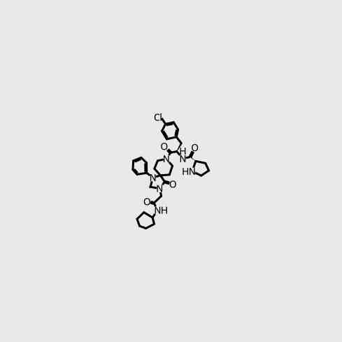 O=C(CN1CN(c2ccccc2)C2(CCN(C(=O)[C@@H](Cc3ccc(Cl)cc3)NC(=O)[C@@H]3CCCN3)CC2)C1=O)NC1CCCCC1